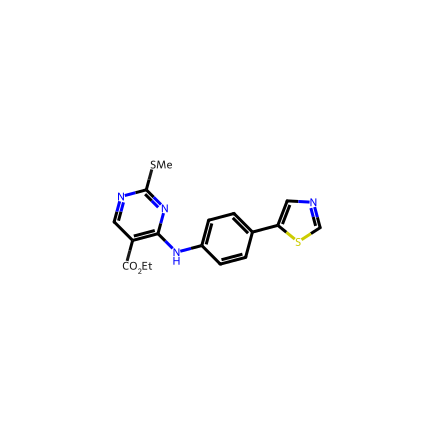 CCOC(=O)c1cnc(SC)nc1Nc1ccc(-c2cncs2)cc1